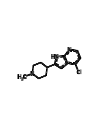 CN1CCC(c2cc3c(Cl)ccnc3[nH]2)CC1